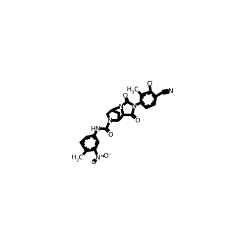 Cc1ccc(NC(=O)N2CC3CC2C2C(=O)N(c4ccc(C#N)c(Cl)c4C)C(=O)N32)cc1[N+](=O)[O-]